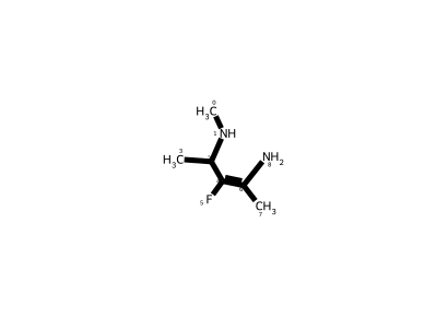 CNC(C)/C(F)=C(/C)N